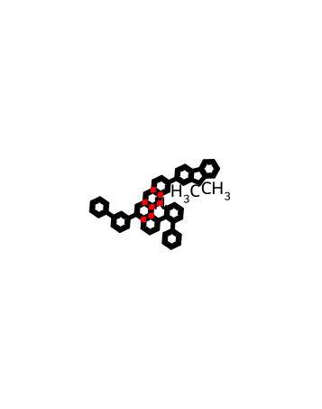 CC1(C)c2ccccc2-c2ccc(-c3cccc(N(c4ccc(-c5cccc(-c6ccccc6)c5)cc4)c4cccc(-c5ccccc5)c4-c4ccccc4-c4ccccc4)c3)cc21